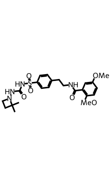 COc1ccc(OC)c(C(=O)NCCc2ccc(S(=O)(=O)NC(=O)NN3CCC3(C)C)cc2)c1